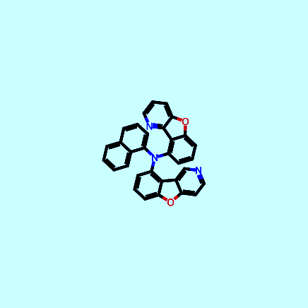 c1ccc2c(N(c3cccc4oc5ccncc5c34)c3cccc4oc5cccnc5c34)cccc2c1